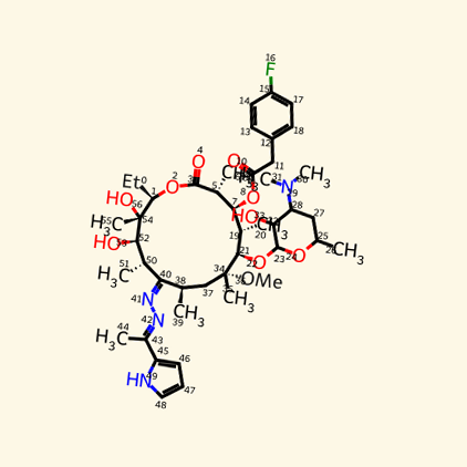 CC[C@H]1OC(=O)[C@H](C)[C@@H](OC(=O)Cc2ccc(F)cc2)[C@H](C)[C@@H](OC2OC(C)CC(N(C)C)C2O)[C@](C)(OC)C[C@@H](C)/C(=N\N=C(/C)c2ccc[nH]2)[C@H](C)[C@@H](O)[C@]1(C)O